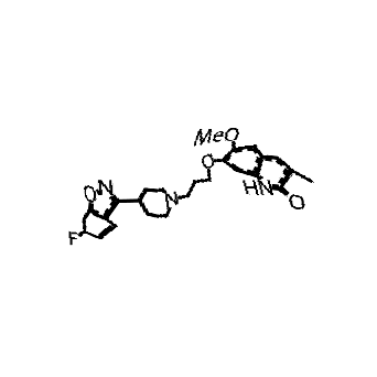 COc1cc2cc(C)c(=O)[nH]c2cc1OCCCN1CCC(c2noc3c2C=CC(F)C3)CC1